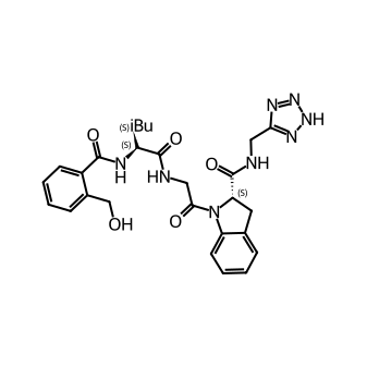 CC[C@H](C)[C@H](NC(=O)c1ccccc1CO)C(=O)NCC(=O)N1c2ccccc2C[C@H]1C(=O)NCc1nn[nH]n1